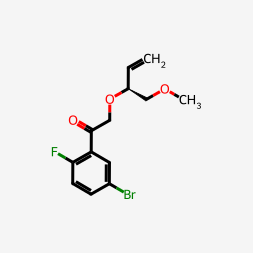 C=C[C@@H](COC)OCC(=O)c1cc(Br)ccc1F